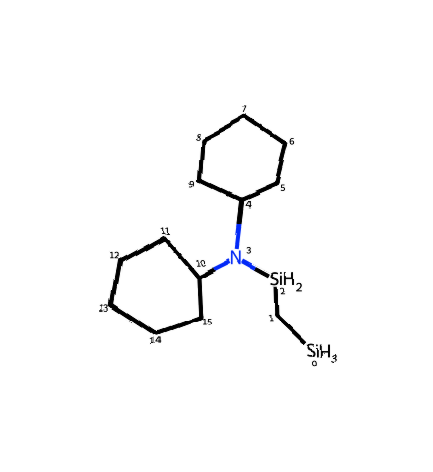 [SiH3]C[SiH2]N(C1CCCCC1)C1CCCCC1